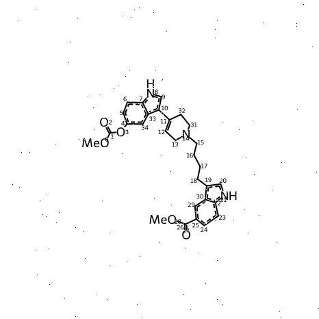 COC(=O)Oc1ccc2[nH]cc(C3=CCN(CCCCc4c[nH]c5ccc(C(=O)OC)cc45)CC3)c2c1